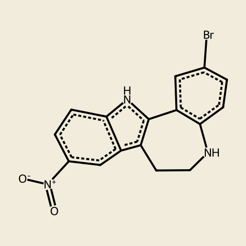 O=[N+]([O-])c1ccc2[nH]c3c(c2c1)CCNc1ccc(Br)cc1-3